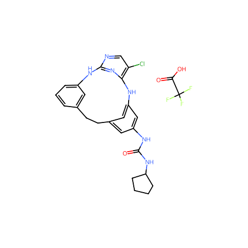 O=C(Nc1cc2cc(c1)Nc1nc(ncc1Cl)Nc1cccc(c1)CC2)NC1CCCC1.O=C(O)C(F)(F)F